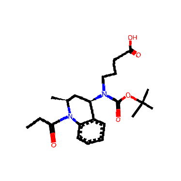 CCC(=O)N1c2ccccc2[C@H](N(CCCC(=O)O)C(=O)OC(C)(C)C)C[C@@H]1C